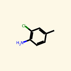 Cc1c[c]c(N)c(Cl)c1